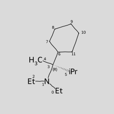 CCN(CC)[C@](C)(C(C)C)C1CCCCC1